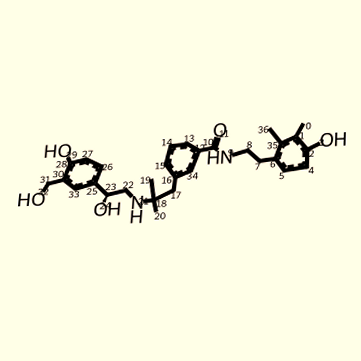 Cc1c(O)ccc(CCNC(=O)c2cccc(CC(C)(C)NC[C@@H](O)c3ccc(O)c(CO)c3)c2)c1C